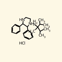 CC(C)C(C)(N)C(C)C.Cl.c1ccc(C2NCCNC2c2ccccc2)cc1